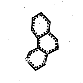 [c]1ccc2ccc3ccncc3c2c1